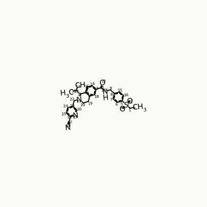 CCS(=O)(=O)c1ccc(CNC(=O)c2ccc3c(c2)CCN(Cc2ccc(C#N)nc2)[C@H]3C(C)C)cc1